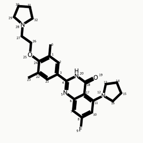 Cc1cc(-c2nc3cc(F)cc(N4CCCC4)c3c(=O)[nH]2)cc(C)c1OCCN1CCCC1